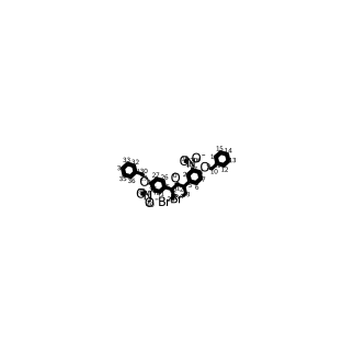 O=C(C(CBr)c1ccc(OCc2ccccc2)c([N+](=O)[O-])c1)C(CBr)c1ccc(OCc2ccccc2)c([N+](=O)[O-])c1